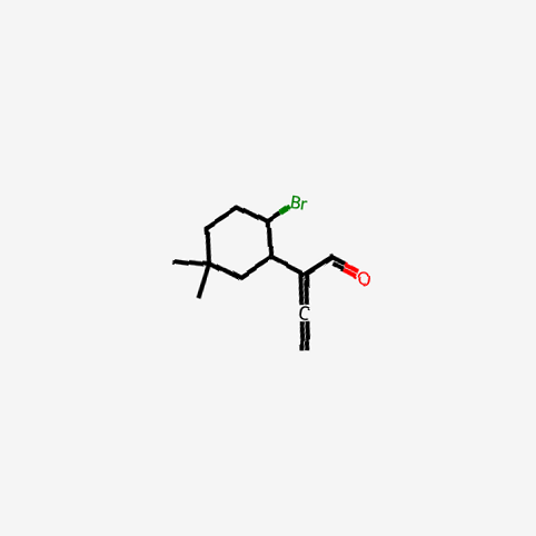 C=C=C(C=O)C1CC(C)(C)CCC1Br